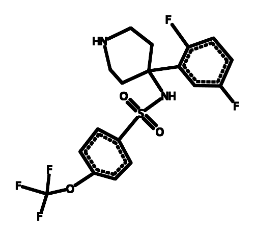 O=S(=O)(NC1(c2cc(F)ccc2F)CCNCC1)c1ccc(OC(F)(F)F)cc1